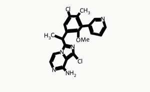 COc1c(C(C)c2nc(Cl)c3c(N)nccn23)cc(Cl)c(C)c1-c1cccnc1